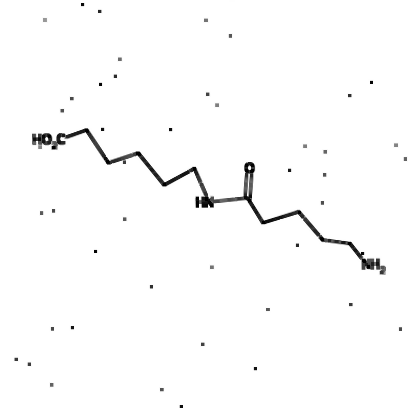 NCCCCC(=O)NCCCCCC(=O)O